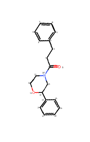 O=C(CCc1ccccc1)N1CCOC(c2ccccc2)C1